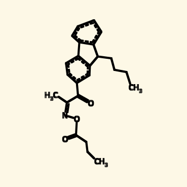 CCCCC1c2ccccc2-c2ccc(C(=O)/C(C)=N\OC(=O)CCC)cc21